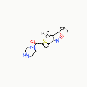 CC1C(c2ccc(C(=O)N3CCNCC3)s2)=NOC1C(F)(F)F